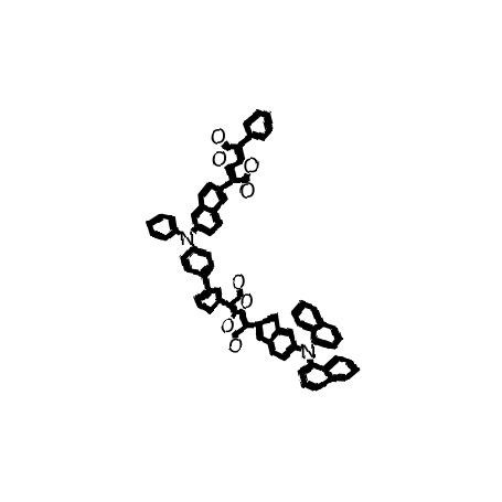 O=C1OC2=C(c3ccc4cc(N(c5ccccc5)c5ccc(-c6cccc(C7=C8OC(=O)C(c9ccc%10cc(N(c%11cccc%12ccccc%11%12)c%11cccc%12ccccc%11%12)ccc%10c9)=C8OC7=O)c6)cc5)ccc4c3)C(=O)OC2=C1c1ccccc1